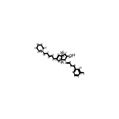 Cc1cccc(CC/C=C/[C@@H]2[C@H]3CC(CCCCCN4CCCCC4)=C[C@H]3C[C@H]2O)c1